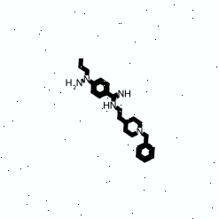 CCCN(N)c1ccc(C(=N)NCCC2CCN(Cc3ccccc3)CC2)cc1